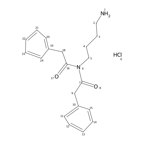 Cl.NCCCCN(C(=O)Cc1ccccc1)C(=O)Cc1ccccc1